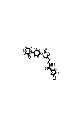 O=C(NCCC1CN(c2ccc(N3CCOCC3=O)cc2)C(=O)O1)c1ccc(Cl)s1